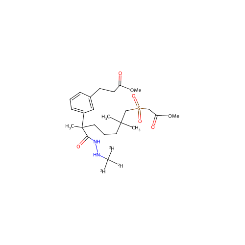 [2H]C([2H])([2H])NNC(=O)C(C)(CCCC(C)(C)CS(=O)(=O)CC(=O)OC)c1cccc(CCC(=O)OC)c1